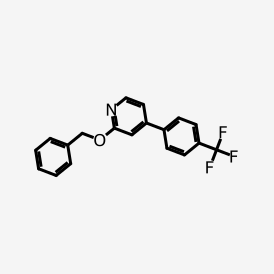 FC(F)(F)c1ccc(-c2ccnc(OCc3ccccc3)c2)cc1